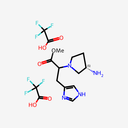 COC(=O)C(Cc1c[nH]cn1)N1CC[C@H](N)C1.O=C(O)C(F)(F)F.O=C(O)C(F)(F)F